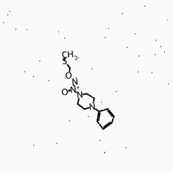 CSCO/N=[N+](\[O-])N1CCN(c2ccccc2)CC1